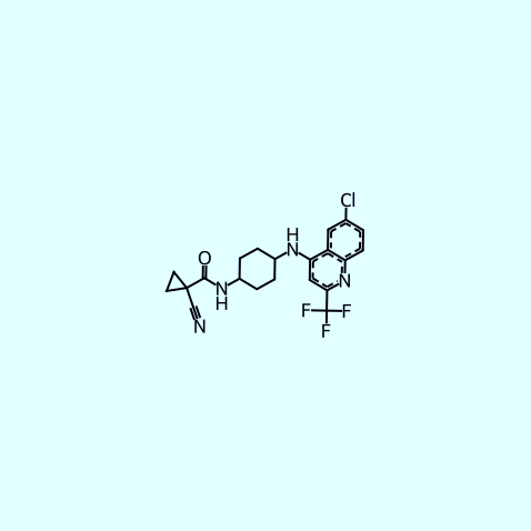 N#CC1(C(=O)NC2CCC(Nc3cc(C(F)(F)F)nc4ccc(Cl)cc34)CC2)CC1